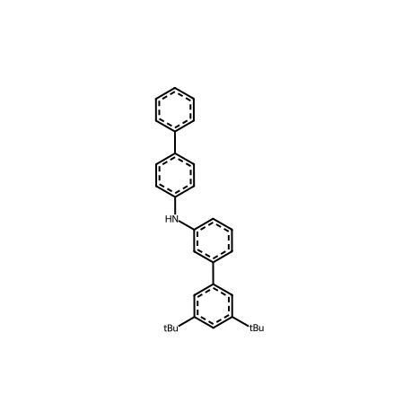 CC(C)(C)c1cc(-c2cccc(Nc3ccc(-c4ccccc4)cc3)c2)cc(C(C)(C)C)c1